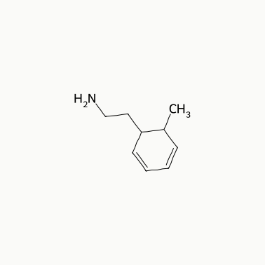 CC1C=CC=CC1CCN